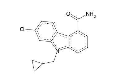 NC(=O)c1cccc2c1c1[c]cc(Cl)cc1n2CC1CC1